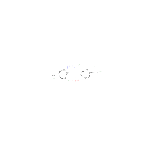 N[C@@H](c1ccc(C(F)(F)F)cc1F)[C@H](O)c1ccc(C(F)(F)F)cc1F